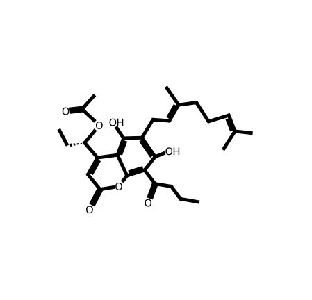 CCCC(=O)c1c(O)c(C/C=C(\C)CCC=C(C)C)c(O)c2c([C@H](CC)OC(C)=O)cc(=O)oc12